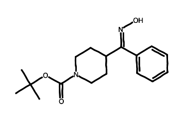 CC(C)(C)OC(=O)N1CCC(C(=NO)c2ccccc2)CC1